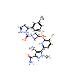 Cc1c(C(N)=O)nn(C)c1-c1ccc(F)c(OC2CN(C(=O)N3N=CCC3c3cc(F)cc(C#N)c3)C2)n1